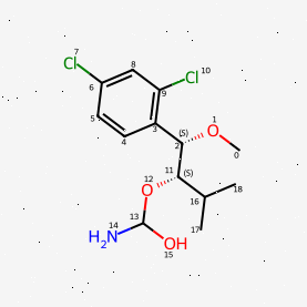 CO[C@@H](c1ccc(Cl)cc1Cl)[C@@H](OC(N)O)C(C)C